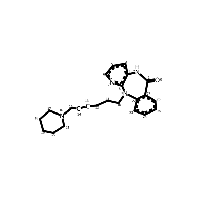 O=C1Nc2cccnc2N(CCCCCCN2CCCCC2)c2ccccc21